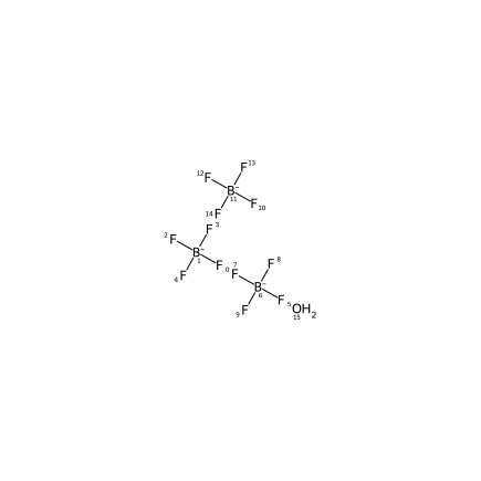 F[B-](F)(F)F.F[B-](F)(F)F.F[B-](F)(F)F.O